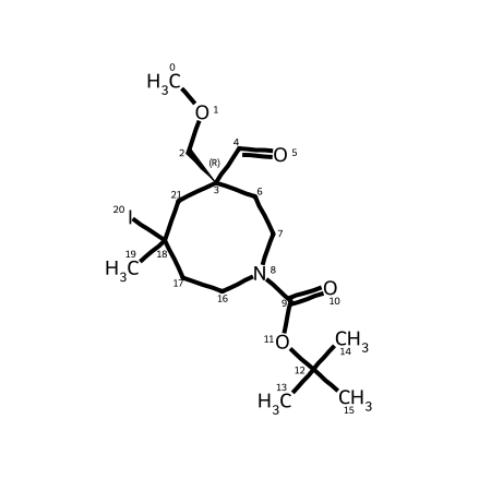 COC[C@@]1(C=O)CCN(C(=O)OC(C)(C)C)CCC(C)(I)C1